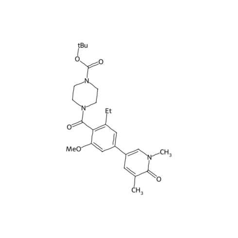 CCc1cc(-c2cc(C)c(=O)n(C)c2)cc(OC)c1C(=O)N1CCN(C(=O)OC(C)(C)C)CC1